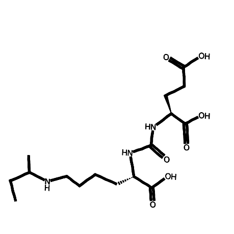 CCC(C)NCCCC[C@H](NC(=O)N[C@@H](CCC(=O)O)C(=O)O)C(=O)O